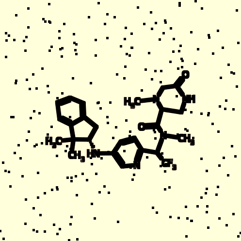 CN1CC(=O)NCC1C(=O)N(C)C(c1ccc(N[C@H]2Cc3ccccc3C2(C)C)cn1)C(F)(F)F